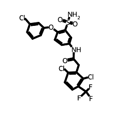 NS(=O)(=O)c1cc(NC(=O)Cc2c(Cl)ccc(C(F)(F)F)c2Cl)ccc1Oc1cccc(Cl)c1